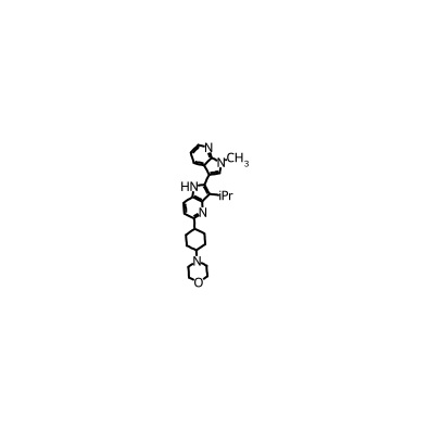 CC(C)c1c(-c2cn(C)c3ncccc23)[nH]c2ccc(C3CCC(N4CCOCC4)CC3)nc12